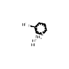 B.F.F.F.Fc1cccnc1